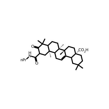 CCCNC(=O)C1C[C@@]2(C)C(CC[C@]3(C)C2CC=C2C4CC(C)(C)CC[C@]4(C(=O)O)CC[C@]23C)C(C)(C)C1=O